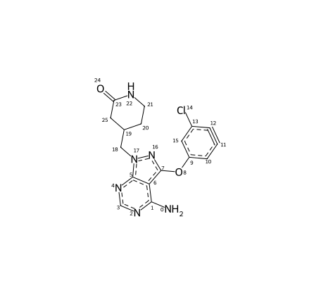 Nc1ncnc2c1c(Oc1cc#cc(Cl)c1)nn2CC1CCNC(=O)C1